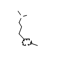 CN(C)CCCc1nnc([S])s1